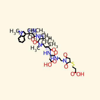 CN[C@H](C(=O)NC(C(=O)N(C)C/C=C(\C)C(=O)N[C@@H](CC(=O)O)C(=O)NCCN1C(=O)CC(SCCC(=O)O)C1=O)C(C)(C)C)C(C)(C)c1cn(C)c2ccccc12